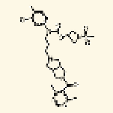 Cc1ccc(N(CCCN2CC3CN(C(=O)c4c(C)ncnc4C)CC3C2)C(=O)OC2CN(S(C)(=O)=O)C2)cc1Cl